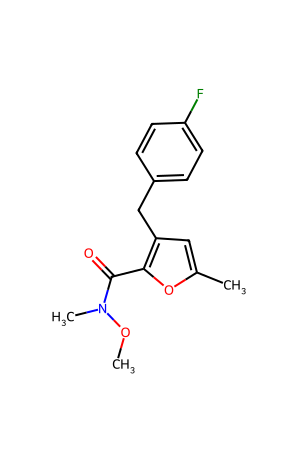 CON(C)C(=O)c1oc(C)cc1Cc1ccc(F)cc1